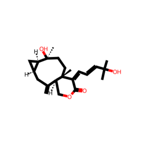 C=C1C[C@H]2C[C@H]2[C@@](C)(O)CC[C@]2(C)/C(=C/C=C/C(C)(C)O)C(=O)OC[C@@H]12